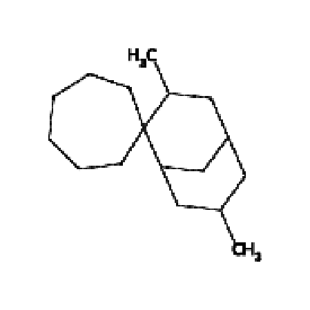 CC1CC2CC(C)C3(CCCCCC3)C(C1)C2